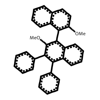 COc1ccc2ccccc2c1-c1c(OC)c(-c2ccccc2)c(-c2ccccc2)c2ccccc12